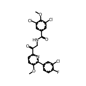 COc1ccc(C(=O)CNC(=O)c2cc(Cl)c(OC)c(Cl)c2)nc1-c1ccc(F)c(Cl)c1